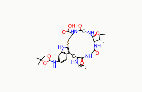 BN[C@H]1Cc2c([nH]c3cc(NC(=O)OC(C)(C)C)ccc23)SC[C@@H](C(=O)O)NC(=O)CNC(=O)[C@H]([C@@H](C)CC)NC(=O)CNC1=O